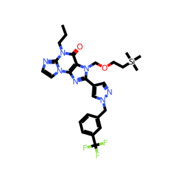 CCCn1c(=O)c2c(nc(-c3cnn(Cc4cccc(C(F)(F)F)c4)c3)n2COCC[Si](C)(C)C)n2ccnc12